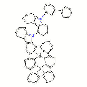 c1ccc(-c2cccc(-n3c4ccccc4c4c(-n5c6ccccc6c6ccc([Si]7(c8ccccc8)c8ccccc8[Si](c8ccccc8)(c8ccccc8)c8ccccc87)cc65)cccc43)c2)cc1